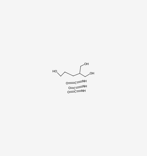 N=C=O.N=C=O.N=C=O.OCCCC(CO)CO